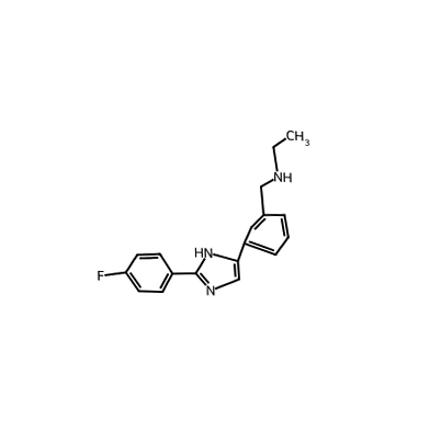 CCNCc1cccc(-c2cnc(-c3ccc(F)cc3)[nH]2)c1